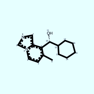 Cc1ccn2cncc2c1[C@H](O)C1CCCCC1